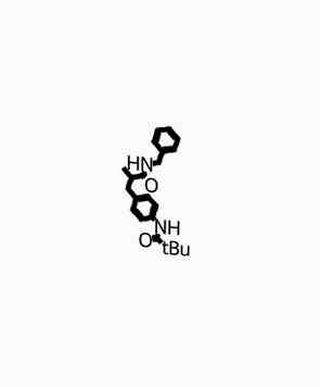 CC(Cc1ccc(NC(=O)C(C)(C)C)cc1)C(=O)NCc1ccccc1